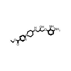 CCOC(=O)c1ccc(N2CCC(NCC(O)COc3cccc(N)c3N)CC2)nc1